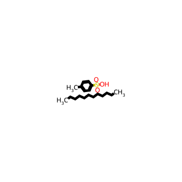 CCCCCCCCCCCC.Cc1ccc(S(=O)(=O)O)cc1